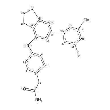 NC(=O)Cc1ccc(Nc2cc(-c3cc(F)cc(Cl)c3)nc3c2CCC3)cc1